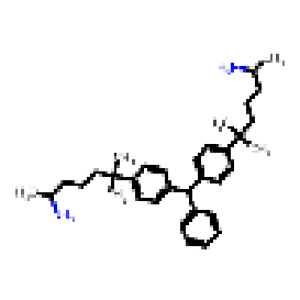 CC(N)CCCC(C)(C)c1ccc(C(c2ccccc2)c2ccc(C(C)(C)CCCC(C)N)cc2)cc1